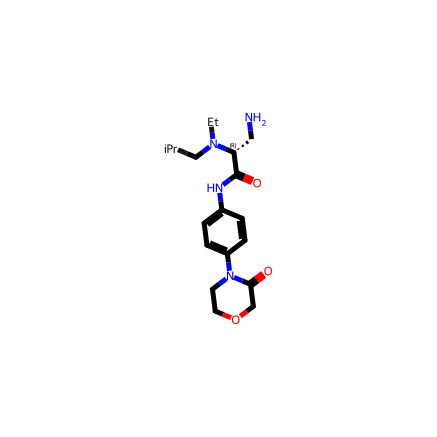 CCN(CC(C)C)[C@H](CN)C(=O)Nc1ccc(N2CCOCC2=O)cc1